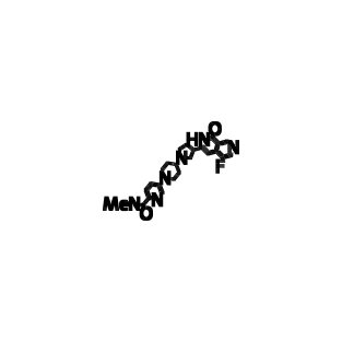 CNC(=O)c1ccc(N2CCC(N3CCC(c4cc5c(F)cncc5c(=O)[nH]4)C3)CC2)cn1